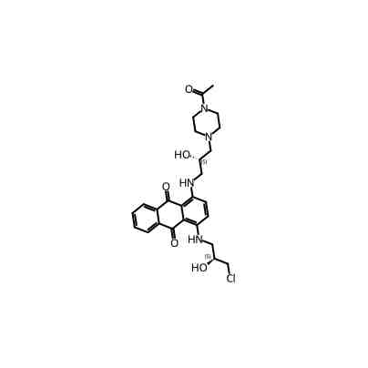 CC(=O)N1CCN(C[C@@H](O)CNc2ccc(NC[C@H](O)CCl)c3c2C(=O)c2ccccc2C3=O)CC1